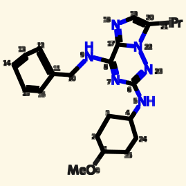 COC1CCC(Nc2nc(NCc3ccccc3)c3ncc(C(C)C)n3n2)CC1